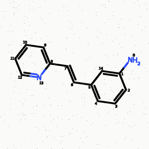 Nc1cccc(C=Cc2ccccn2)c1